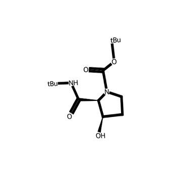 CC(C)(C)NC(=O)[C@@H]1[C@H](O)CCN1C(=O)OC(C)(C)C